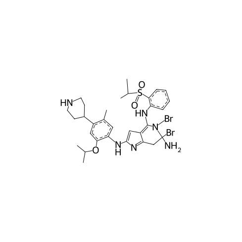 Cc1cc(NC2=CC3=C(Nc4ccccc4S(=O)(=O)C(C)C)N(Br)C(N)(Br)CC3=N2)c(OC(C)C)cc1C1CCNCC1